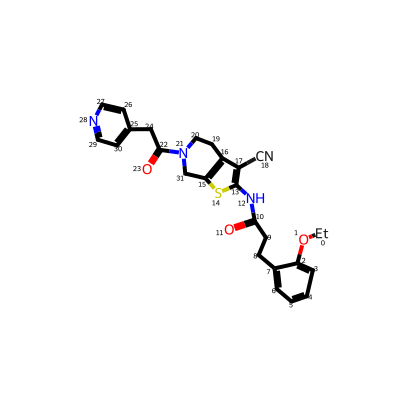 CCOc1ccccc1CCC(=O)Nc1sc2c(c1C#N)CCN(C(=O)Cc1ccncc1)C2